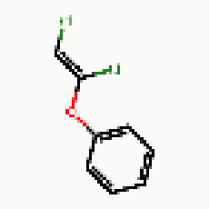 ClC=C(Cl)Oc1cc[c]cc1